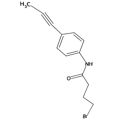 CC#Cc1ccc(NC(=O)CCCBr)cc1